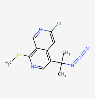 CSc1ncc(C(C)(C)N=[N+]=[N-])c2cc(Cl)ncc12